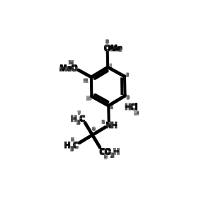 COc1ccc(NC(C)(C)C(=O)O)cc1OC.Cl